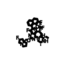 CC[C@@H]1N[C@H](C)CN2c3nc(OC[C@@]45CCCN4C[C@H](F)C5)nc4c(F)c(-c5cccc6ccc(F)c(OC(F)(F)F)c56)nc(c34)CC[C@H]12